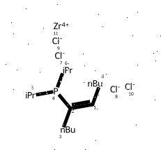 CCCCC=C(CCCC)P(C(C)C)C(C)C.[Cl-].[Cl-].[Cl-].[Cl-].[Zr+4]